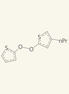 CCCc1csc(OOc2cccs2)c1